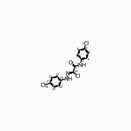 O=C(Nc1ccc(Cl)cc1)C(Cl)=NNc1ccc(Cl)cc1